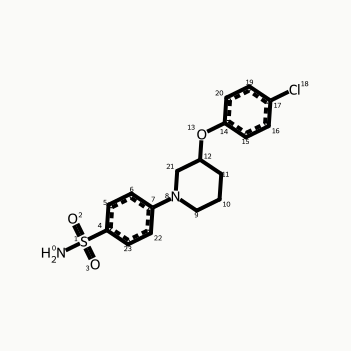 NS(=O)(=O)c1ccc(N2CCCC(Oc3ccc(Cl)cc3)C2)cc1